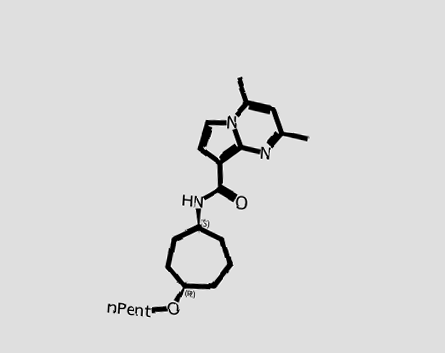 CCCCCO[C@@H]1CCC[C@H](NC(=O)c2ccn3c(C)cc(C)nc23)CC1